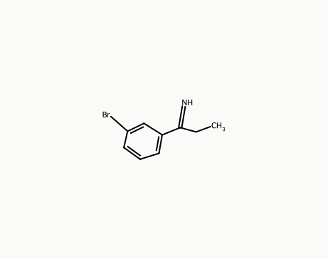 CCC(=N)c1cccc(Br)c1